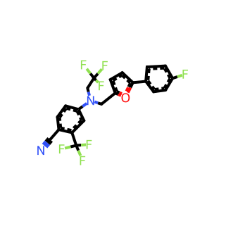 N#Cc1ccc(N(Cc2ccc(-c3ccc(F)cc3)o2)CC(F)(F)F)cc1C(F)(F)F